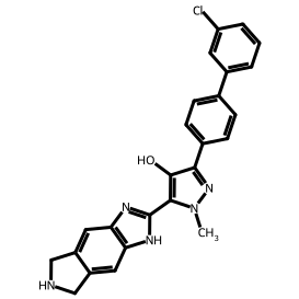 Cn1nc(-c2ccc(-c3cccc(Cl)c3)cc2)c(O)c1-c1nc2cc3c(cc2[nH]1)CNC3